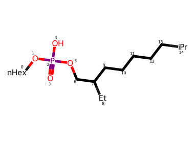 CCCCCCOP(=O)(O)OCC(CC)CCCCCC(C)C